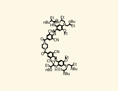 CCCCC(CC)CN(CC(CC)CCCC)c1cc(NC(=O)C(CC)CCCC)c(N=Nc2c(C#N)cc(C(=O)N3CCN(C(=O)c4cc(C#N)c(N=Nc5cc(OCC)c(N(CC(CC)CCCC)CC(CC)CCCC)cc5NC(=O)C(CC)CCCC)c(C#N)c4)CC3)cc2C#N)cc1OCC